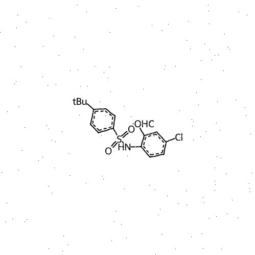 CC(C)(C)c1ccc(S(=O)(=O)Nc2ccc(Cl)cc2[C]=O)cc1